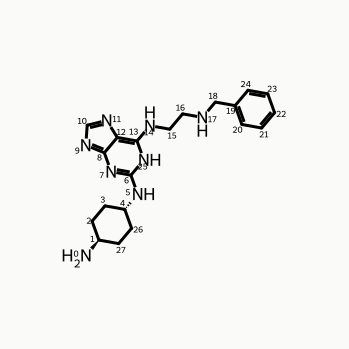 N[C@H]1CC[C@H](Nc2nc3ncnc-3c(NCCNCc3ccccc3)[nH]2)CC1